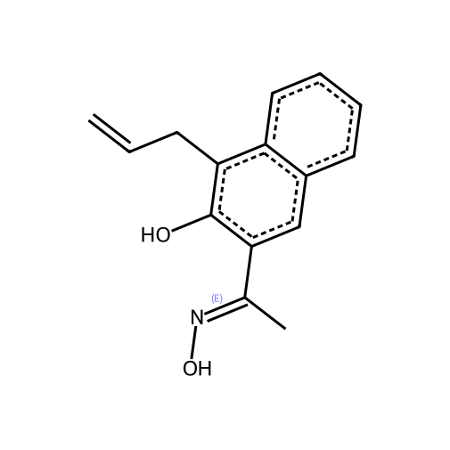 C=CCc1c(O)c(/C(C)=N/O)cc2ccccc12